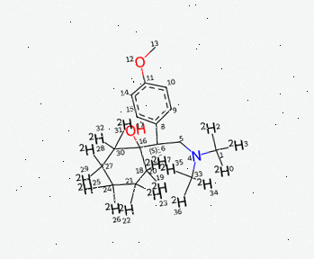 [2H]C([2H])([2H])N(C[C@]([2H])(c1ccc(OC)cc1)C1(O)C([2H])([2H])C([2H])([2H])C([2H])([2H])C([2H])([2H])C1([2H])[2H])C([2H])([2H])[2H]